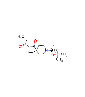 CCC(=O)C1CCC2(CCN(C(=O)OC(C)(C)C)CC2)C1=O